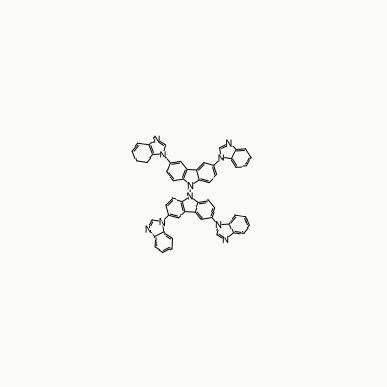 C1=Cc2ncn(-c3ccc4c(c3)c3cc(-n5cnc6ccccc65)ccc3n4-n3c4ccc(-n5cnc6ccccc65)cc4c4cc(-n5cnc6ccccc65)ccc43)c2CC1